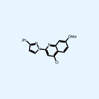 COc1ccc2c(Cl)cc(-n3ccc(C(C)C)n3)nc2c1